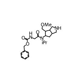 COCC1C2CNCC2CC1N(C(=O)CNC(=O)OCc1ccccc1)C(C)C